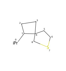 CC(C)C1CCC12CCSC2